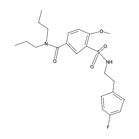 CCCN(CCC)C(=O)c1ccc(OC)c(S(=O)(=O)NCCc2ccc(F)cc2)c1